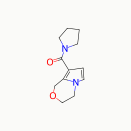 O=C(c1ccn2c1COCC2)N1CCCC1